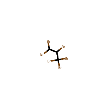 BrC(Br)C(Br)C(Br)(Br)Br